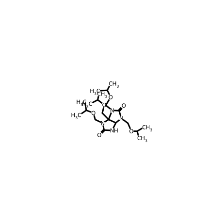 CC(C)OCN1C(=O)N(COC(C)C)C2(COC(C)C)C1NC(=O)N2COC(C)C